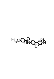 Cc1ccc(C(=O)Nc2ccc(-c3cc4ocnc4cc3Cl)cc2)cc1